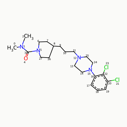 CN(C)C(=O)N1CCC(CCCN2CCN(c3cccc(Cl)c3Cl)CC2)CC1